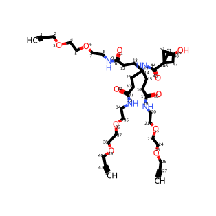 C#CCOCCOCCNC(=O)CCC(CCC(=O)NCCOCCOCC#C)(CCC(=O)NCCOCCOCC#C)NC(=O)C12CC(O)(C1)C2